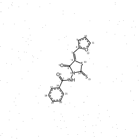 O=C(NN1C(=O)C(=Cc2ccco2)SC1=S)c1ccccc1